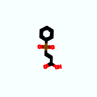 O=C(O)/C=C/S(=O)(=O)c1ccccc1